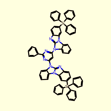 c1ccc(-c2nc(-n3c4ccccc4n4c5cc([Si](c6ccccc6)(c6ccccc6)c6ccccc6)ccc5nc34)cc(-n3c4ccccc4n4c5cc([Si](c6ccccc6)(c6ccccc6)c6ccccc6)ccc5nc34)n2)cc1